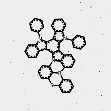 c1ccc(-n2c3ccccc3c3c2c2c4cccc5c4n(c2c2c4ccccc4n(-c4ccccc4)c32)-c2cccc3c2B5c2ccccc2S3)cc1